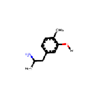 CCOc1cc(CC(N)SC)ccc1OC